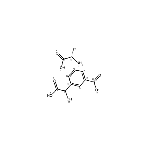 C[C@H](N)C(=O)O.O=C(O)C(O)c1cccc([N+](=O)[O-])c1